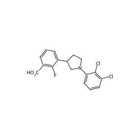 O=C(O)c1cccc(C2CCN(c3cccc(Cl)c3Cl)C2)c1F